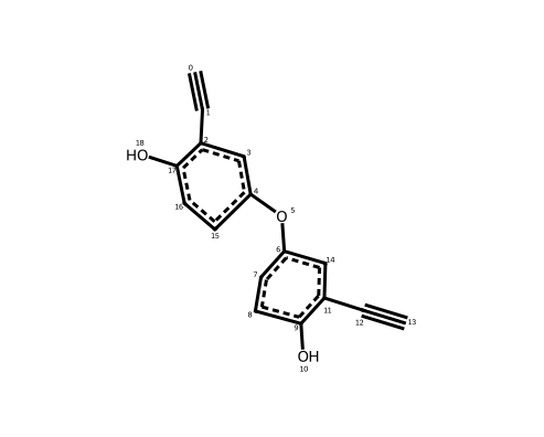 C#Cc1cc(Oc2ccc(O)c(C#C)c2)ccc1O